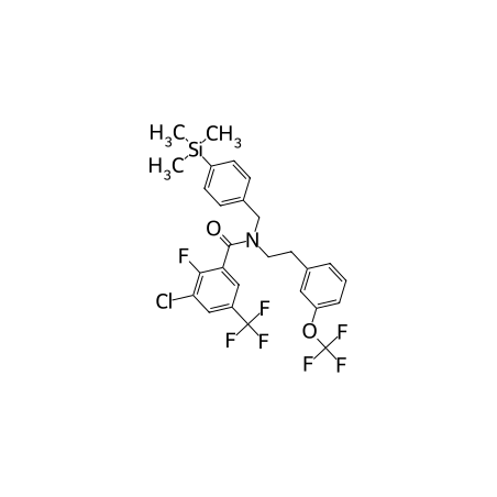 C[Si](C)(C)c1ccc(CN(CCc2cccc(OC(F)(F)F)c2)C(=O)c2cc(C(F)(F)F)cc(Cl)c2F)cc1